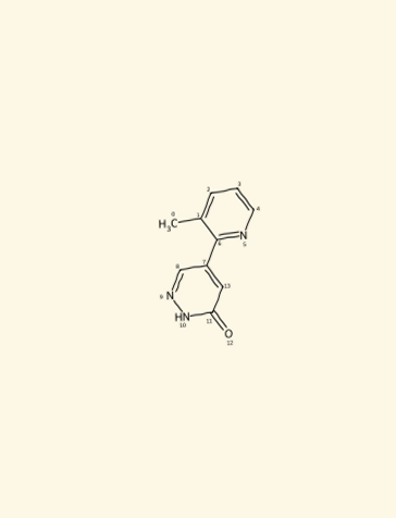 Cc1cccnc1-c1cn[nH]c(=O)c1